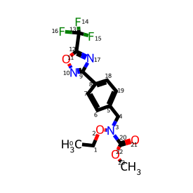 CCON(Cc1ccc(-c2noc(C(F)(F)F)n2)cc1)C(=O)OC